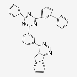 c1ccc(-c2cccc(-c3nc(-c4ccccc4)nc(-c4cccc(-c5ncnc6c5Cc5ccccc5-6)c4)n3)c2)cc1